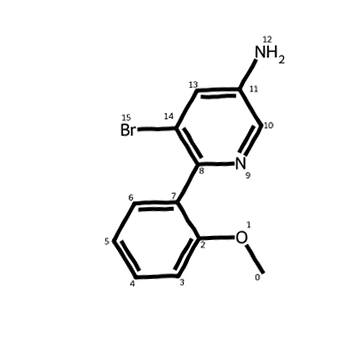 COc1ccccc1-c1ncc(N)cc1Br